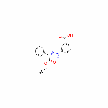 CCOC(=O)/C(=N\Nc1cccc(C(=O)O)c1)c1ccccc1